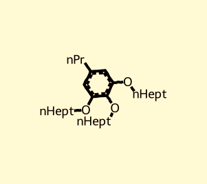 [CH2]CCc1cc(OCCCCCCC)c(OCCCCCCC)c(OCCCCCCC)c1